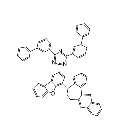 C1=CC(c2nc(-c3cccc(-c4ccccc4)c3)nc(-c3cc([C@H]4CCc5cc6ccccc6cc5-c5ccccc54)c4oc5ccccc5c4c3)n2)=CC(c2ccccc2)C1